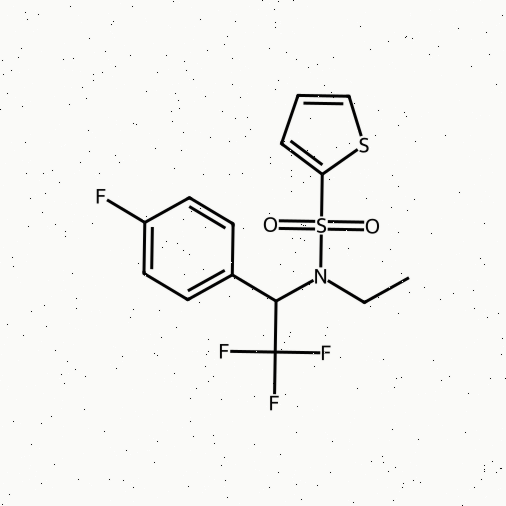 CCN(C(c1ccc(F)cc1)C(F)(F)F)S(=O)(=O)c1cccs1